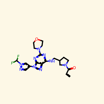 C=CC(=O)N1CCC(CNc2nc(N3CCOCC3)nc3c2ncn3-c2cnn(C(F)F)c2)C1